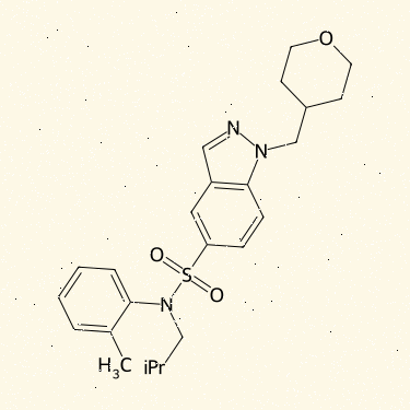 Cc1ccccc1N(CC(C)C)S(=O)(=O)c1ccc2c(cnn2CC2CCOCC2)c1